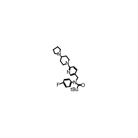 CC(C)(C)C(=O)N(Cc1ccc(N2CCC(N3CCCC3)CC2)nc1)c1ccc(F)cc1